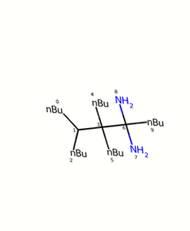 CCCCC(CCCC)C(CCCC)(CCCC)C(N)(N)CCCC